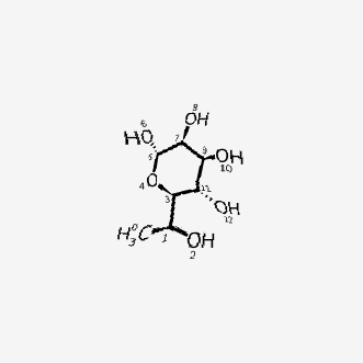 C[C@H](O)[C@H]1O[C@H](O)[C@@H](O)[C@@H](O)[C@@H]1O